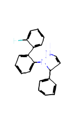 Fc1ccccc1-c1ccccc1N1NC=CC1c1ccccc1